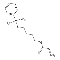 C=CC(=O)OCCCCSC(C)(C)c1ccccc1